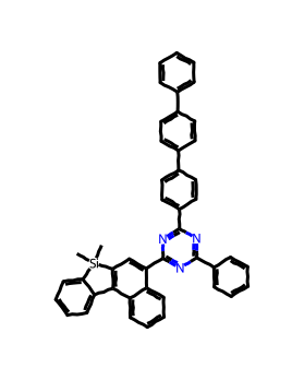 C[Si]1(C)c2ccccc2-c2c1cc(-c1nc(-c3ccccc3)nc(-c3ccc(-c4ccc(-c5ccccc5)cc4)cc3)n1)c1ccccc21